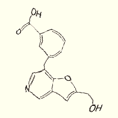 O=C(O)c1cccc(-c2cncc3cc(CO)oc23)c1